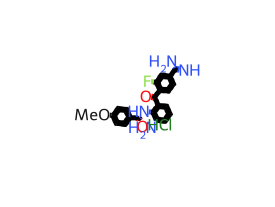 COc1ccc(C(=O)Nc2c(N)cccc2C(=O)c2ccc(C(=N)N)cc2F)cc1.Cl